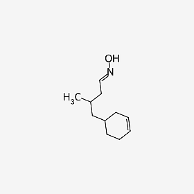 CC(CC=NO)CC1CC=CCC1